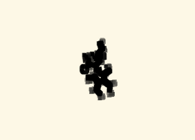 C=CCCC(C(=O)NC)n1c(=C)c(=C/C)/c(=C\C)c1=C